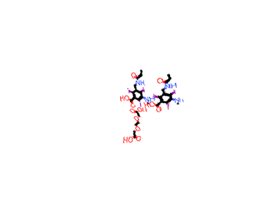 CCC(=O)NCc1c(I)c(NC)c(I)c(C(=O)O)c1I.CCC(=O)NCc1c(I)c(NC)c(I)c(C(=O)O)c1I.O=C(O)COCCOCC(=O)O